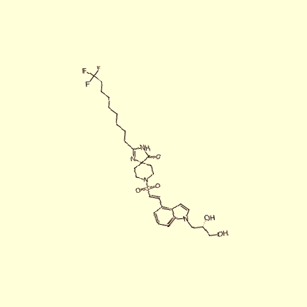 O=C1NC(CCCCCCCCC(F)(F)F)=NC12CCN(S(=O)(=O)/C=C/c1cccc3c1ccn3C[C@H](O)CO)CC2